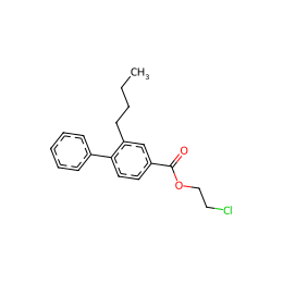 CCCCc1cc(C(=O)OCCCl)ccc1-c1ccccc1